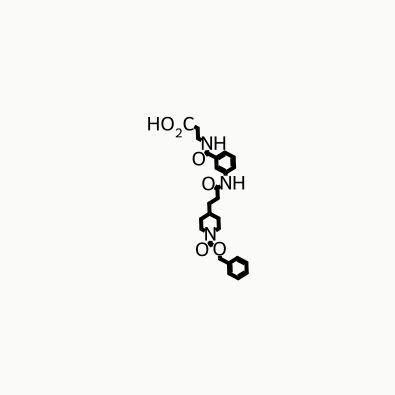 O=C(O)CCNC(=O)c1cccc(NC(=O)CCC2CCN(C(=O)OCc3ccccc3)CC2)c1